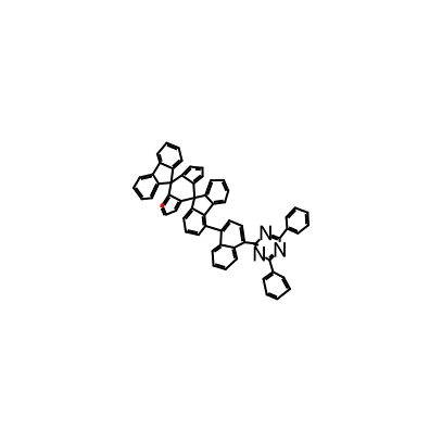 c1ccc(-c2nc(-c3ccccc3)nc(-c3ccc(-c4cccc5c4-c4ccccc4C54c5ccccc5C5(c6ccccc6-c6ccccc65)c5ccccc54)c4ccccc34)n2)cc1